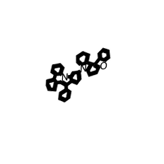 c1ccc(-c2c3ccc(-n4c5ccccc5c5c6c(ccc54)oc4ccccc46)cc3n3c4ccccc4c4ccccc4c23)cc1